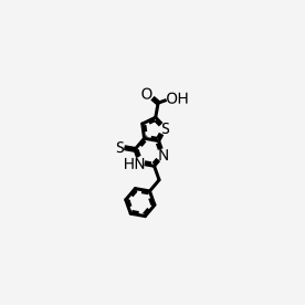 O=C(O)c1cc2c(=S)[nH]c(Cc3ccccc3)nc2s1